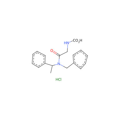 CC(c1ccccc1)N(Cc1ccccc1)C(=O)CNC(=O)O.Cl